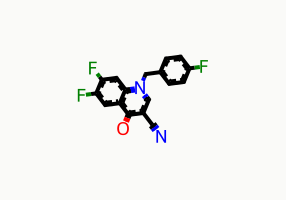 N#Cc1cn(Cc2ccc(F)cc2)c2cc(F)c(F)cc2c1=O